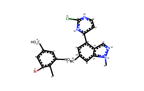 Cc1c(Br)cc(C(=O)O)cc1[N+](=O)[O-].Cn1ncc2c(-c3ccnc(Cl)n3)cc(C#N)cc21